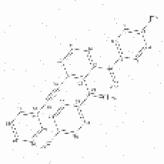 O=C(c1ccc(F)cc1)c1cccc(C#Cc2ccccc2)c1C(=O)c1ccc(F)cc1